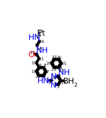 Bc1cnc(Nc2ccc(CCC(=O)NCCNCC)cc2)nc1Nc1ccccc1